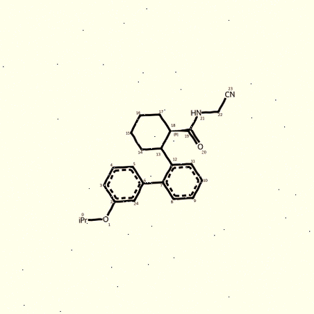 CC(C)Oc1cccc(-c2ccccc2C2CCCC[C@H]2C(=O)NCC#N)c1